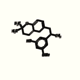 COc1cc(O)cc(C(C)CC2=CC=C3OC(C)(C)CCC3C2)c1